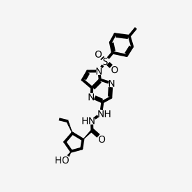 CC[C@@H]1C[C@H](O)C[C@@H]1C(=O)NNc1cnc2c(ccn2S(=O)(=O)c2ccc(C)cc2)n1